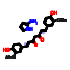 COc1cc(/C=C/C(=O)CC(=O)/C=C/c2ccc(O)c(OC)c2)ccc1O.Nc1ccc[nH]1